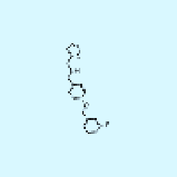 Fc1cccc(COc2ccc(CNCc3cccs3)cc2)c1